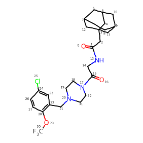 O=C(CC12CC3CC(CC(C3)C1)C2)NCC(=O)N1CCN(Cc2cc(Cl)ccc2OC(F)(F)F)CC1